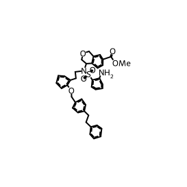 COC(=O)c1ccc2c(c1)COCC2N(CCc1ccccc1OCc1ccc(CCc2ccccc2)cc1)S(=O)(=O)c1ccccc1N